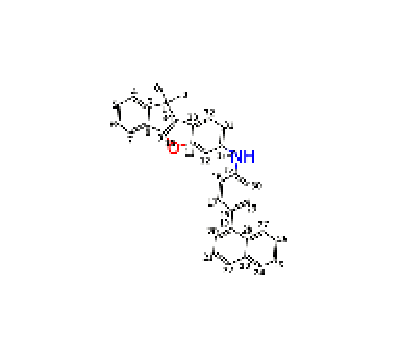 CC1(C)c2ccccc2-c2oc3cc(Nc4ccc(-c5cccc6ccccc56)cc4)ccc3c21